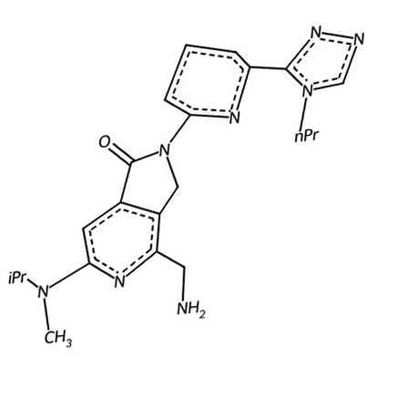 CCCn1cnnc1-c1cccc(N2Cc3c(cc(N(C)C(C)C)nc3CN)C2=O)n1